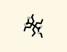 CCCC(CCC)(C(=O)O)C(CCC)(CCC)C(=O)OCC